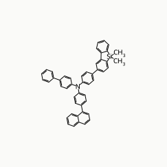 C[Si]1(C)c2ccccc2-c2cc(-c3ccc(N(c4ccc(-c5ccccc5)cc4)c4ccc(-c5cccc6ccccc56)cc4)cc3)ccc21